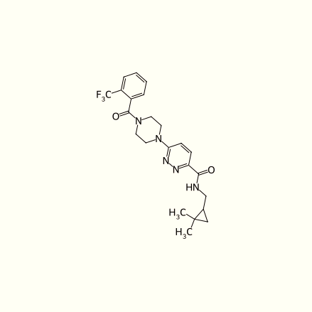 CC1(C)CC1CNC(=O)c1ccc(N2CCN(C(=O)c3ccccc3C(F)(F)F)CC2)nn1